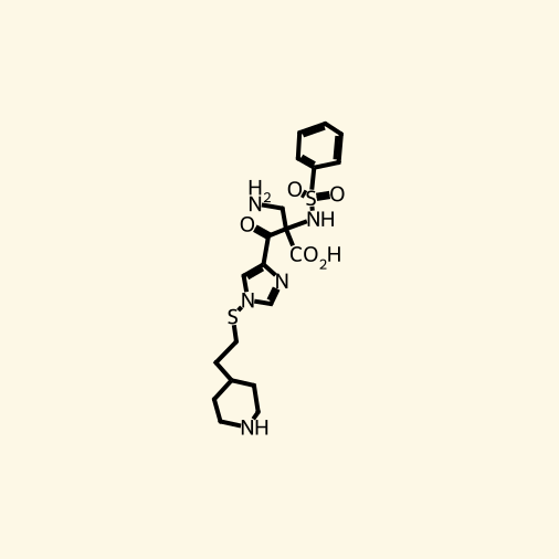 NCC(NS(=O)(=O)c1ccccc1)(C(=O)O)C(=O)c1cn(SCCC2CCNCC2)cn1